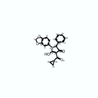 O=C(C1=C(O)N(c2ccc3c(c2)OCO3)C(c2ccccc2)C1=O)C1CC1